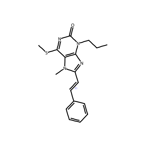 CCCn1c(=O)nc(SC)c2c1nc(/C=C/c1ccccc1)n2C